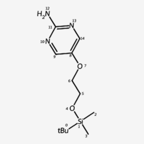 CC(C)(C)[Si](C)(C)OCCOc1cnc(N)nc1